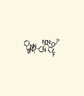 CB(Cc1ccccc1)n1nnc(-c2ccnc(-c3ncn(C)c3-c3ccc(F)cc3OCC3CC3)c2)c1C